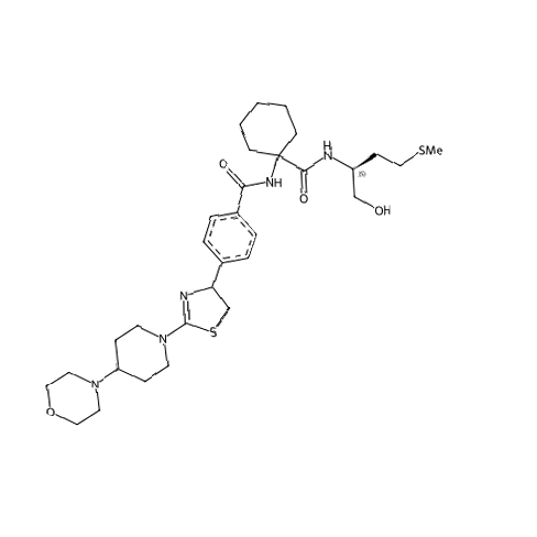 CSCC[C@@H](CO)NC(=O)C1(NC(=O)c2ccc(C3CSC(N4CCC(N5CCOCC5)CC4)=N3)cc2)CCCCC1